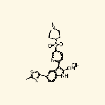 Cc1nc(-c2ccc3[nH]c(O)c(-c4ccc(S(=O)(=O)N5CCN(C)CC5)cn4)c3c2)cs1.Cl